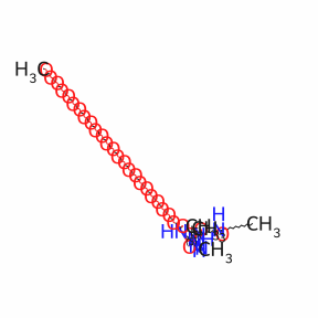 CCCCCCCCCCCC(=O)NCCCCCC(=O)N[C@H](C(=O)N[C@@H](CCCCNC(=O)CCOCCOCCOCCOCCOCCOCCOCCOCCOCCOCCOCCOCCOCCOCCOCCOCCOCCOCCOCCOCCOCCOCCOCCOC)C(=O)N1CCN(C)CC1)[C@@H](C)CC